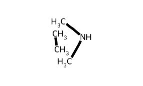 CC.CNC